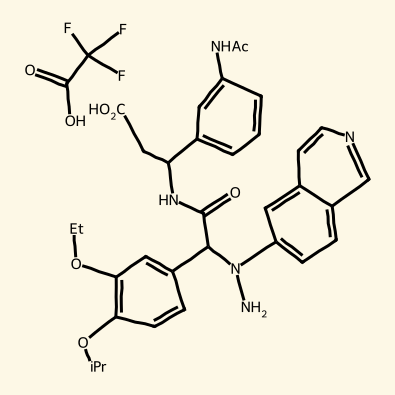 CCOc1cc(C(C(=O)NC(CC(=O)O)c2cccc(NC(C)=O)c2)N(N)c2ccc3cnccc3c2)ccc1OC(C)C.O=C(O)C(F)(F)F